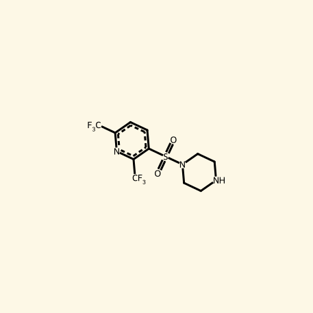 O=S(=O)(c1ccc(C(F)(F)F)nc1C(F)(F)F)N1CCNCC1